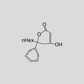 CCCCCCC1(c2ccccc2)CC(O)=CC(=O)O1